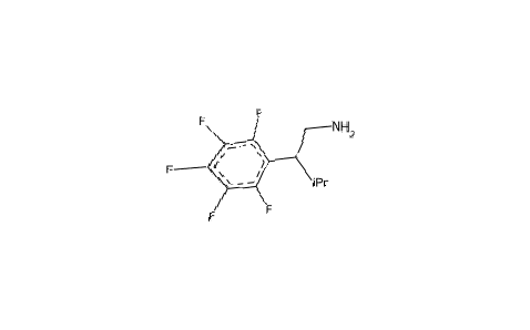 CC(C)C(CN)c1c(F)c(F)c(F)c(F)c1F